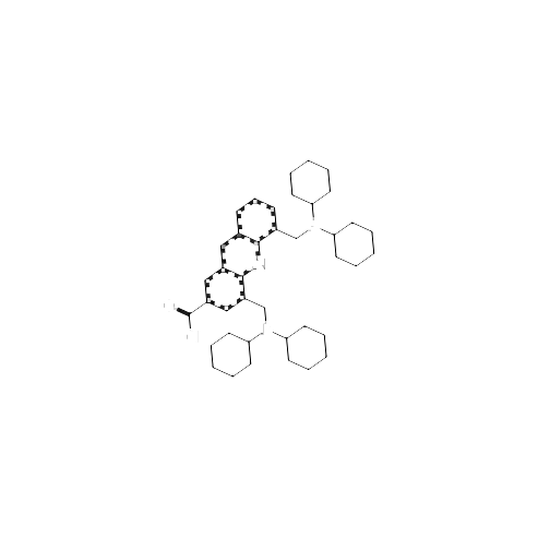 O=C(Cl)c1cc(CP(C2CCCCC2)C2CCCCC2)c2nc3c(CP(C4CCCCC4)C4CCCCC4)cccc3cc2c1